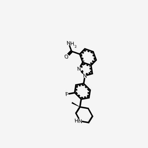 C[C@@]1(c2ccc(-n3cc4cccc(C(N)=O)c4n3)cc2F)CCCNC1